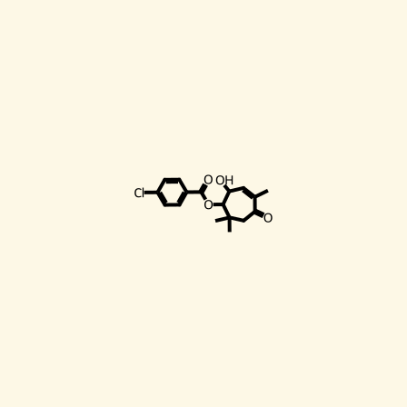 CC1=CC(O)C(OC(=O)c2ccc(Cl)cc2)C(C)(C)CC1=O